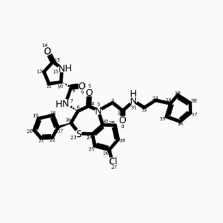 O=C(CN1C(=O)[C@@H](NC(=O)[C@@H]2CCC(=O)N2)[C@H](c2ccccc2)Sc2cc(Cl)ccc21)NCCc1ccccc1